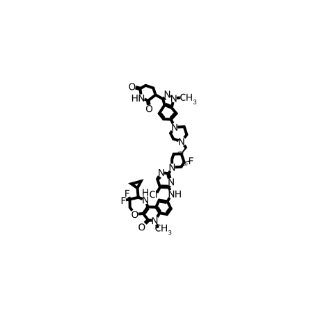 Cn1nc(C2CCC(=O)NC2=O)c2ccc(N3CCN(C[C@@H]4CCN(c5ncc(Cl)c(Nc6ccc7c(c6)c6c(c(=O)n7C)OCC(F)(F)C(C7CC7)N6)n5)C[C@H]4F)CC3)cc21